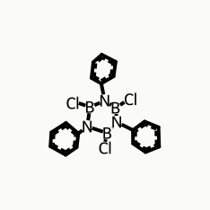 ClB1N(c2ccccc2)B(Cl)N(c2ccccc2)B(Cl)N1c1ccccc1